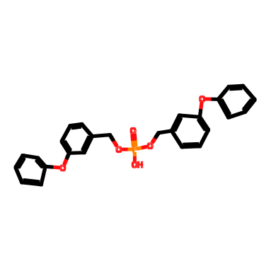 O=P(O)(OCc1cccc(Oc2ccccc2)c1)OCc1cccc(Oc2ccccc2)c1